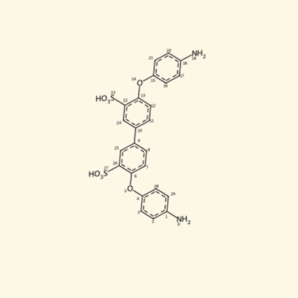 Nc1ccc(Oc2ccc(-c3ccc(Oc4ccc(N)cc4)c(S(=O)(=O)O)c3)cc2S(=O)(=O)O)cc1